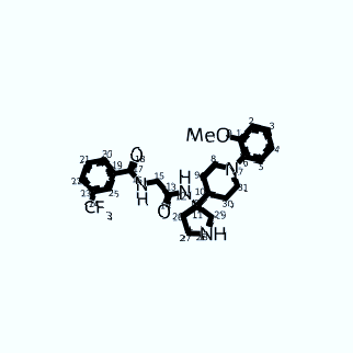 COc1ccccc1N1CCC([C@]2(NC(=O)CNC(=O)c3cccc(C(F)(F)F)c3)CCNC2)CC1